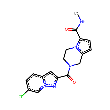 CCNC(=O)c1ccc2n1CCN(C(=O)c1cc3ccc(Cl)cn3n1)C2